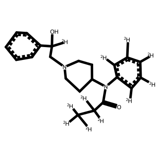 [2H]c1c([2H])c([2H])c(N(C(=O)C([2H])([2H])C([2H])([2H])[2H])C2CCN(CC([2H])(O)c3ccccc3)CC2)c([2H])c1[2H]